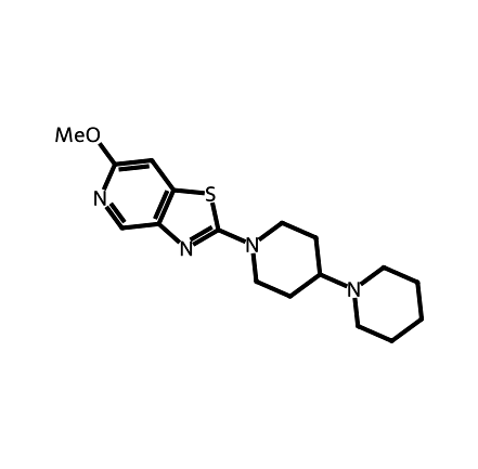 COc1cc2sc(N3CCC(N4CCCCC4)CC3)nc2cn1